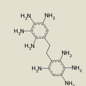 Nc1cc(CCc2c(N)cc(N)c(N)c2N)c(N)c(N)c1N